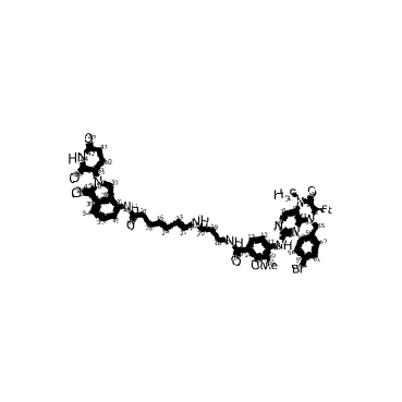 CC[C@@H]1C(=O)N(C)c2cnc(Nc3ccc(C(=O)NCCCNCCCCCCC(=O)Nc4cccc5c4CN(C4CCC(=O)NC4=O)C5=O)cc3OC)nc2N1Cc1ccc(Br)cc1